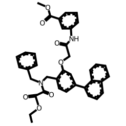 CCOC(=O)C(=O)N(Cc1ccccc1)Cc1ccc(-c2cccc3ccccc23)cc1OCC(=O)Nc1cccc(C(=O)OC)c1